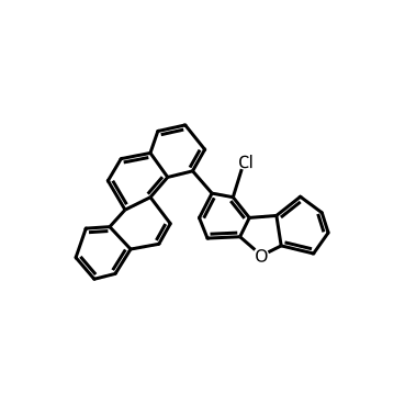 Clc1c(-c2cccc3ccc4c5ccccc5ccc4c23)ccc2oc3ccccc3c12